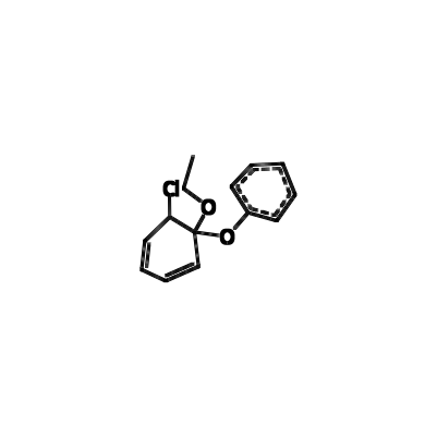 CCOC1(Oc2ccccc2)C=CC=CC1Cl